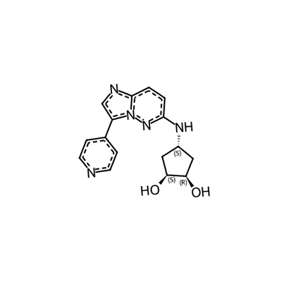 O[C@@H]1C[C@@H](Nc2ccc3ncc(-c4ccncc4)n3n2)C[C@@H]1O